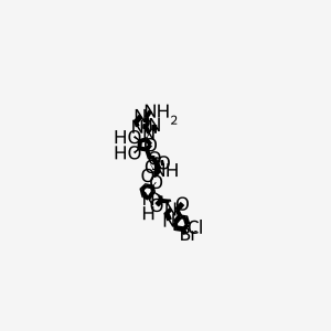 Nc1ncnc2c1ncn2[C@@H]1OC(COS(=O)(=O)NC(=O)O[C@H]2CCCN[C@@H]2CC(=O)Cn2cnc3cc(Br)c(Cl)cc3c2=O)[C@@H](O)[C@H]1O